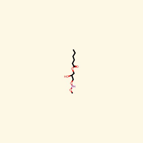 CCCCCC(=O)OCC(O)COPOC